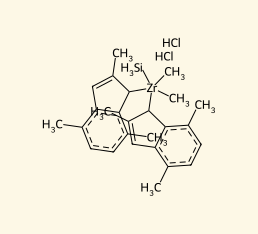 CC1=Cc2c(C)ccc(C)c2[CH]1[Zr]([CH3])([CH3])([SiH3])[CH]1C(C)=Cc2c(C)ccc(C)c21.Cl.Cl